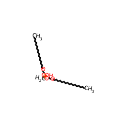 C=P(O)(OCCOCCCCCCCCCCCCCCCCCC)OCCOCCCCCCCCCCCCCCCCCC